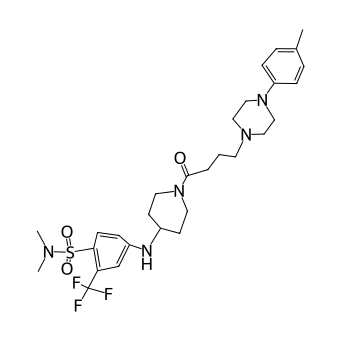 Cc1ccc(N2CCN(CCCC(=O)N3CCC(Nc4ccc(S(=O)(=O)N(C)C)c(C(F)(F)F)c4)CC3)CC2)cc1